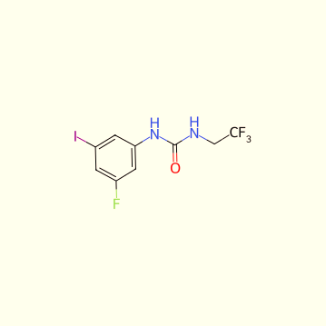 O=C(NCC(F)(F)F)Nc1cc(F)cc(I)c1